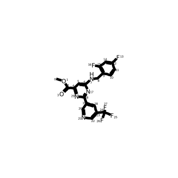 COC(=O)c1cc(NCc2ccc(F)cc2F)nc(-c2cncc(C(F)(F)F)c2)n1